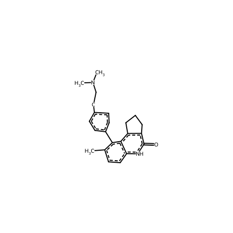 Cc1ccc2[nH]c(=O)c3c(c2c1-c1ccc(CCN(C)C)cc1)CCC3